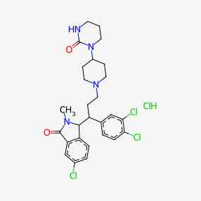 CN1C(=O)c2cc(Cl)ccc2C1C(CCN1CCC(N2CCCNC2=O)CC1)c1ccc(Cl)c(Cl)c1.Cl